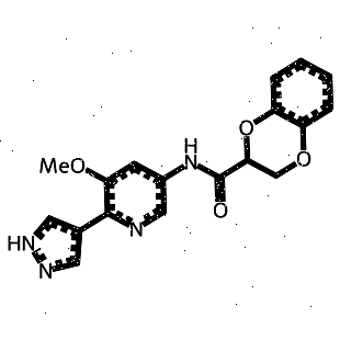 COc1cc(NC(=O)C2COc3ccccc3O2)cnc1-c1cn[nH]c1